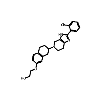 OCCOc1ccc2c(c1)CC(N1CCc3nc(-c4ccccc4Cl)[nH]c3C1)CC2